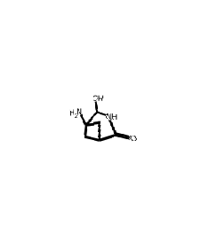 NC12CC(C1)C(=O)NC2O